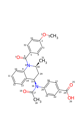 COc1ccc(C(=O)N2c3ccccc3[C@H](N(C(C)=O)c3ccc(C(=O)O)cc3)C[C@@H]2C)cc1